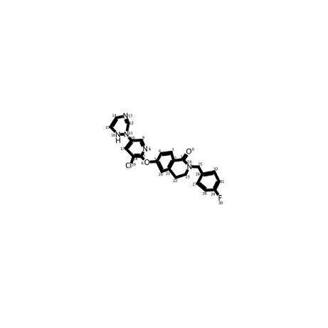 O=C1c2ccc(Oc3ncc(N4C=NC=CN4)cc3Cl)cc2CCN1Cc1ccc(F)cc1